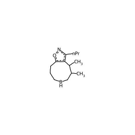 CCCc1noc2c1C(C)C(C)CBCCC2